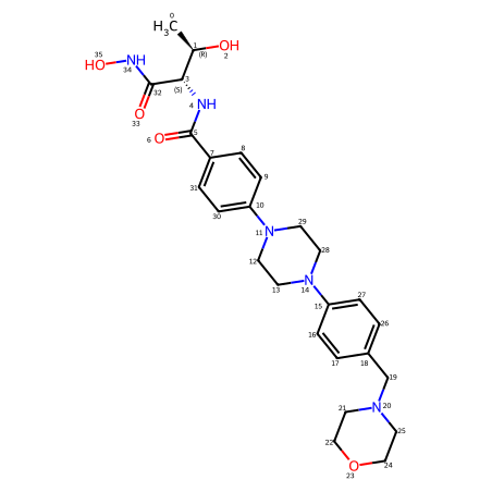 C[C@@H](O)[C@H](NC(=O)c1ccc(N2CCN(c3ccc(CN4CCOCC4)cc3)CC2)cc1)C(=O)NO